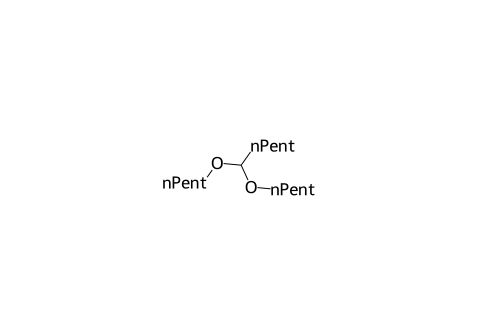 CCCCCOC(CCCCC)OCCCCC